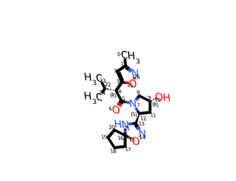 Cc1cc([C@H](C(=O)N2C[C@H](O)C[C@H]2C2=NOC3(CCCC3)N2)C(C)C)on1